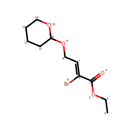 CCOC(=O)/C(Br)=C/COC1CCCCO1